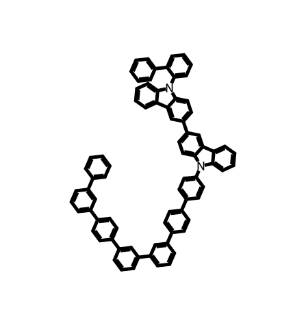 c1ccc(-c2cccc(-c3ccc(-c4cccc(-c5cccc(-c6ccc(-c7ccc(-n8c9ccccc9c9cc(-c%10ccc%11c(c%10)c%10ccccc%10n%11-c%10ccccc%10-c%10ccccc%10)ccc98)cc7)cc6)c5)c4)cc3)c2)cc1